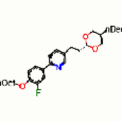 CCCCCCCCCC[C@H]1CO[C@H](CCc2ccc(-c3ccc(OCCCCCCCC)c(F)c3)nc2)OC1